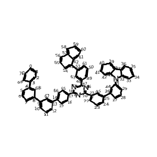 c1ccc(-c2cccc(-c3cccc(-c4ccc(-c5nc(-c6cccc(-c7cccc(-n8c9ccccc9c9ccccc98)c7)c6)nc(-c6cccc(-c7cccc8ccccc78)c6)n5)cc4)c3)c2)cc1